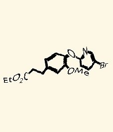 CCOC(=O)CCc1ccc(Oc2ccc(Br)cn2)c(OC)c1